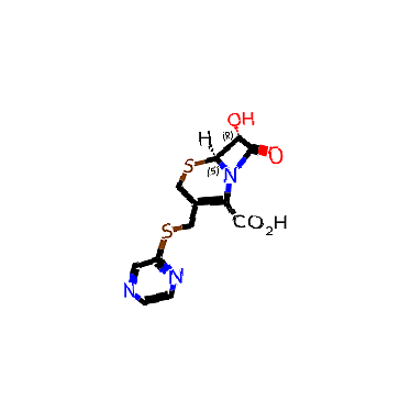 O=C(O)C1=C(CSc2cnccn2)CS[C@H]2[C@H](O)C(=O)N12